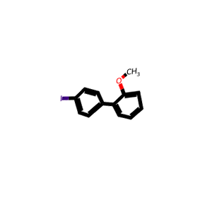 COc1ccccc1-c1c[c]c(I)cc1